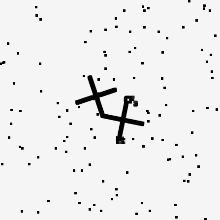 CCC(C)(C[Si](C)(C)C)C(F)(F)F